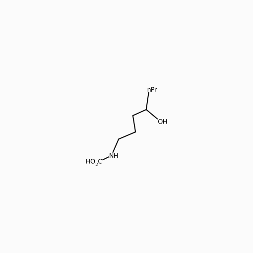 CCCC(O)CCCNC(=O)O